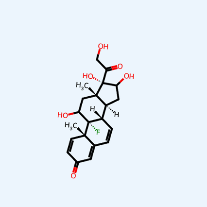 C[C@]12C=CC(=O)C=C1C=C[C@H]1[C@@H]3CC(O)[C@](O)(C(=O)CO)[C@@]3(C)CC(O)[C@@]12F